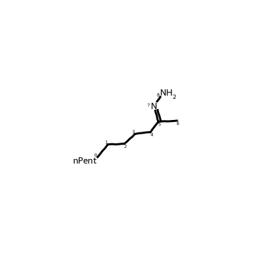 CCCCCCCCCC(C)=NN